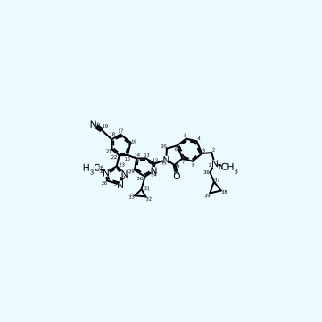 CN(Cc1ccc2c(c1)C(=O)N(c1cc(-c3ccc(C#N)cc3-c3nncn3C)cc(C3CC3)n1)C2)CC1CC1